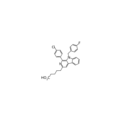 O=C(O)CCCCc1cc2c3ccccc3n(Cc3ccc(F)cc3)c2c(-c2ccc(Cl)cc2)n1